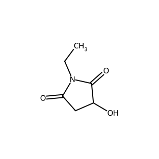 CCN1C(=O)CC(O)C1=O